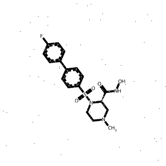 CN1CCN(S(=O)(=O)c2ccc(-c3ccc(F)cc3)cc2)[C@@H](C(=O)NO)C1